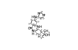 CC(C)(O)c1ccc2c(c1)Nc1cc(Nc3ccncn3)ccc1C(=O)N2